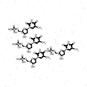 Cc1cn([C@H]2C[C@H](O)[C@@H](COP(=O)(O)O)O2)c(=O)[nH]c1=O.Cc1cn([C@H]2C[C@H](O)[C@@H](COP(=O)(O)O)O2)c(=O)[nH]c1=O.Cc1cn([C@H]2C[C@H](O)[C@@H](COP(=O)(O)O)O2)c(=O)[nH]c1=O.Cc1cn([C@H]2C[C@H](O)[C@@H](COP(=O)(O)O)O2)c(=O)[nH]c1=O